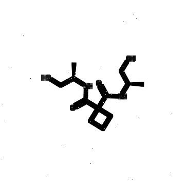 C[C@H](CO)NC(=O)C1(C(=O)N[C@H](C)CO)CCC1